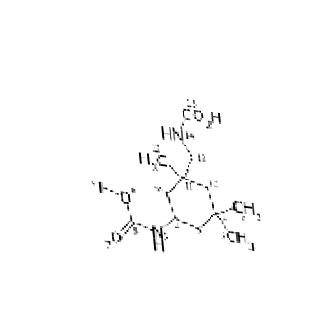 CC1(C)CC(NC(=O)OI)CC(C)(CNC(=O)O)C1